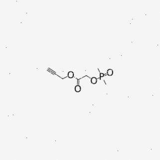 C#CCOC(=O)COP(C)(C)=O